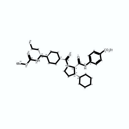 CCOC(=O)c1ccc(NC(=O)[C@@H]2[C@H](C3CCCCC3)CCN2C(=O)[C@H]2CC[C@H]([C@@H](CCF)NC(=O)OC(C)(C)C)CC2)cc1